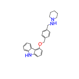 c1ccc2c(c1)[nH]c1cccc(OCc3ccc(CNN4CCCCC4)cc3)c12